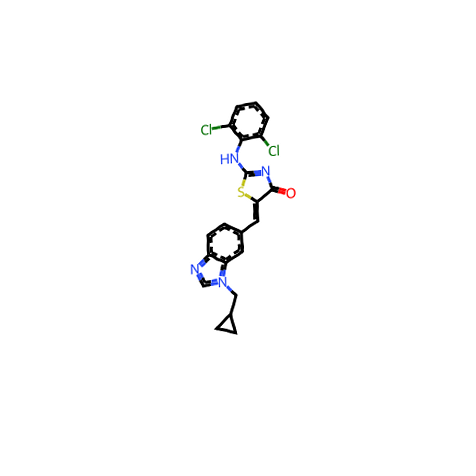 O=C1N=C(Nc2c(Cl)cccc2Cl)S/C1=C\c1ccc2ncn(CC3CC3)c2c1